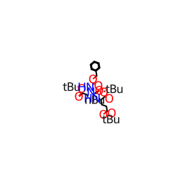 CCCCC(C(=O)OC(C)(C)C)N(NC(=O)OCc1ccccc1)C(=O)NC(CCC(=O)OC(C)(C)C)C(=O)OC(C)(C)C